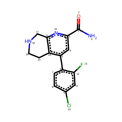 NC(=O)c1cc(-c2ccc(Cl)cc2F)c2c(n1)CNCC2